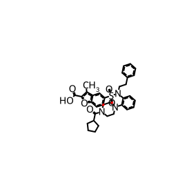 Cc1c(C(=O)O)oc2ccc(S(=O)(=O)N(CCc3ccccc3)c3ccccc3N3CCN(C(=O)C4CCCC4)CC3)cc12